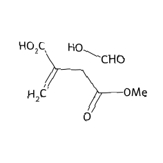 C=C(CC(=O)OC)C(=O)O.O=CO